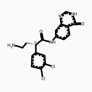 NCC[C@H](C(=O)Nc1ccc2c(=O)[nH]cnc2c1)c1ccc(Cl)c(Cl)c1